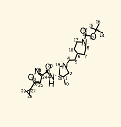 C[C@@H]1CN(CCC2CCN(C(=O)OC(C)(C)C)CC2)C[C@H]1NC(=O)c1cc(C2CC2)on1